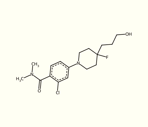 CN(C)C(=O)c1ccc(N2CCC(F)(CCCO)CC2)cc1Cl